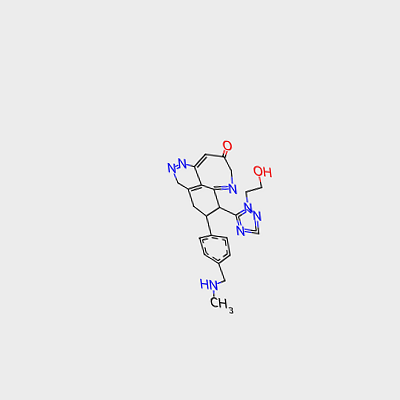 CNCc1ccc(C2CC3=C4C(=CC(=O)CN=C4C2c2ncnn2CCO)N=NC3)cc1